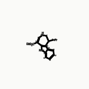 CCCC1CNC=C(C(=O)OCC)c2[nH]c3ccccc3c21